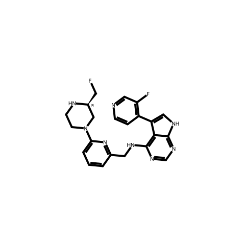 FC[C@H]1CN(c2cccc(CNc3ncnc4[nH]cc(-c5ccncc5F)c34)n2)CCN1